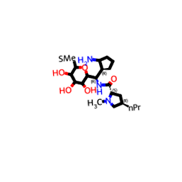 CCC[C@@H]1C[C@@H](C(=O)N[C@@H](C2OC(SC)C(O)C(O)C2O)[C@@H]2CCCC2N)N(C)C1